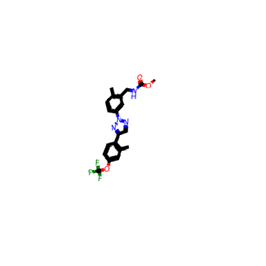 COC(=O)NCc1cc(-n2ncc(-c3ccc(OC(F)(F)F)cc3C)n2)ccc1C